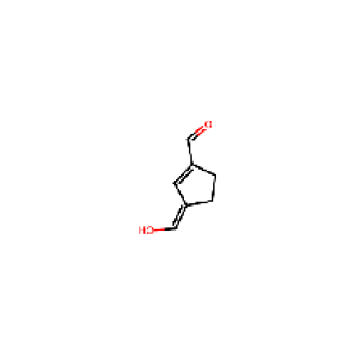 O=CC1=CC(=CO)CC1